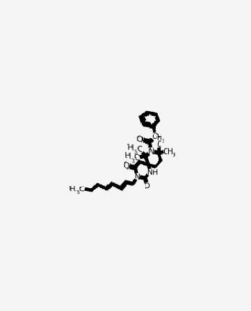 CCCCCCCCN1C(=O)CC2(CCC(C)(C)N(C(=O)Oc3ccccc3)C2(C)C)NC1=O